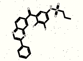 CCCS(=O)(=O)Nc1cc(F)c(F)c(C(=O)c2ccc3ncc(-c4ccccc4)nc3c2)c1